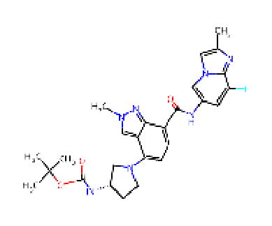 Cc1cn2cc(NC(=O)c3ccc(N4CC[C@H](NC(=O)OC(C)(C)C)C4)c4cn(C)nc34)cc(F)c2n1